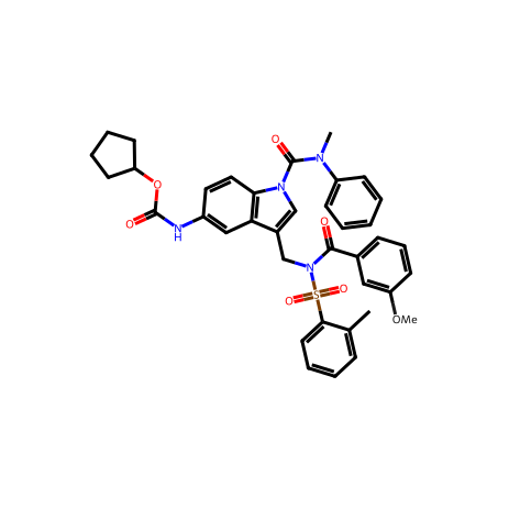 COc1cccc(C(=O)N(Cc2cn(C(=O)N(C)c3ccccc3)c3ccc(NC(=O)OC4CCCC4)cc23)S(=O)(=O)c2ccccc2C)c1